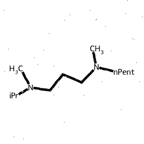 CCCCCN(C)CCCN(C)C(C)C